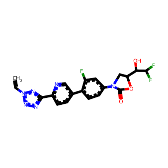 C=Cn1nnc(-c2ccc(-c3ccc(N4CC(C(O)C(F)F)OC4=O)cc3F)cn2)n1